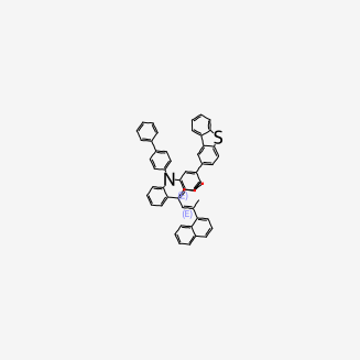 C=C/C=C(\C=C(/C)c1cccc2ccccc12)c1ccccc1N(c1ccc(-c2ccccc2)cc1)c1cccc(-c2ccc3sc4ccccc4c3c2)c1